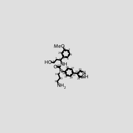 COc1cccc(C(CCO)NC(=O)N(CCCN)c2ccc(-c3cn[nH]c3)cc2)c1